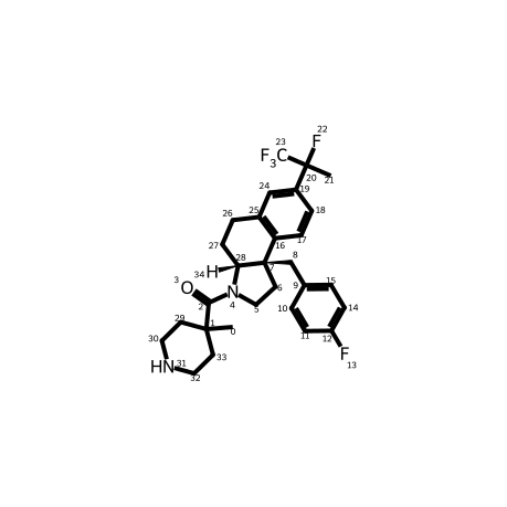 CC1(C(=O)N2CC[C@@]3(Cc4ccc(F)cc4)c4ccc(C(C)(F)C(F)(F)F)cc4CC[C@@H]23)CCNCC1